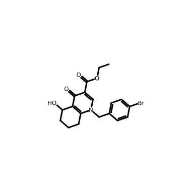 CCOC(=O)c1cn(Cc2ccc(Br)cc2)c2c(c1=O)C(O)CCC2